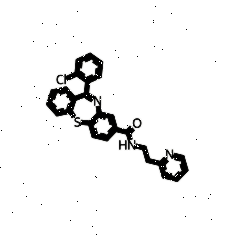 O=C(NCCc1ccccn1)c1ccc2c(c1)N=C(c1ccccc1Cl)c1ccccc1S2